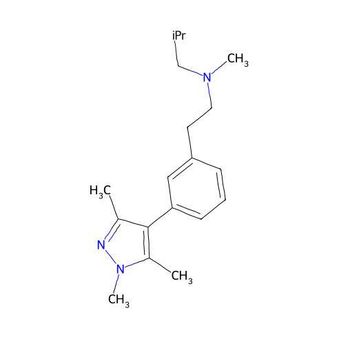 Cc1nn(C)c(C)c1-c1cccc(CCN(C)CC(C)C)c1